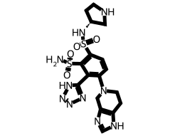 NS(=O)(=O)c1c(S(=O)(=O)N[C@@H]2CCNC2)ccc(N2CCc3[nH]cnc3C2)c1-c1nnn[nH]1